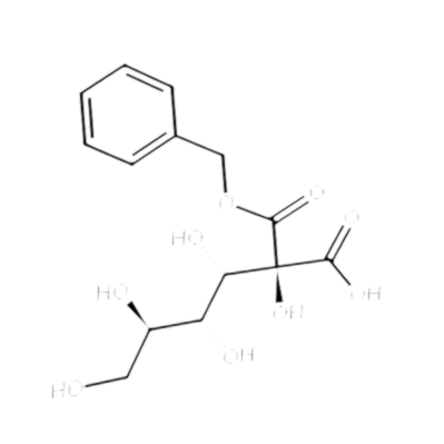 O=C(O)[C@@](O)(C(=O)OCc1ccccc1)[C@@H](O)[C@H](O)[C@H](O)CO